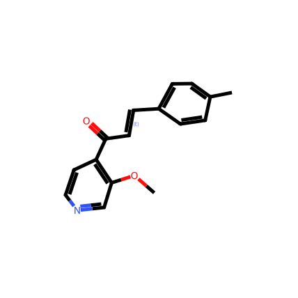 COc1cnccc1C(=O)/C=C/c1ccc(C)cc1